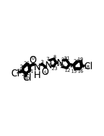 O=C(NCC(=O)N1CCC(N2CCC(c3ccc(Cl)cc3)CC2)C1)c1ccc(Cl)c(Cl)c1